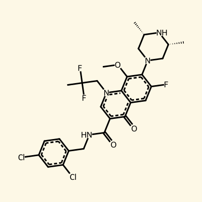 COc1c(N2C[C@@H](C)N[C@@H](C)C2)c(F)cc2c(=O)c(C(=O)NCc3ccc(Cl)cc3Cl)cn(CC(C)(F)F)c12